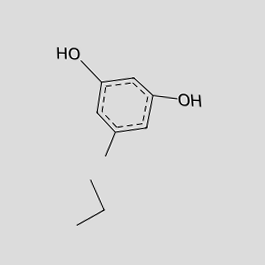 CCC.Cc1cc(O)cc(O)c1